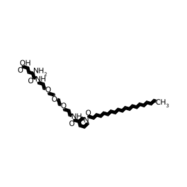 CCCCCCCCCCCCCCCCCCCC(=O)N1CCCC(C(=O)NCCCOCCOCCOCCCNC(=O)C(N)CCC(=O)O)C1